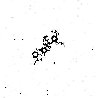 CN[C@H]1CCCC[C@@H]1Nc1cc(F)c(S(=O)(=O)N(Cc2ccc(OC)cc2OC)c2nccs2)cc1Br